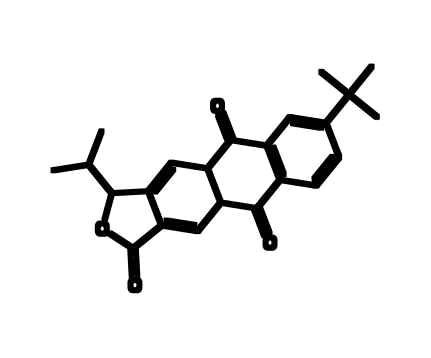 CC(C)C1OC(=O)C2=CC3C(=O)c4ccc(C(C)(C)C)cc4C(=O)C3C=C21